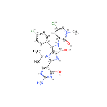 CC(C)n1c(-c2cnc(N)nc2O)nc2c1C(c1ccc(Cl)cc1)N(c1cc(Cl)cn(C)c1=O)C2=O